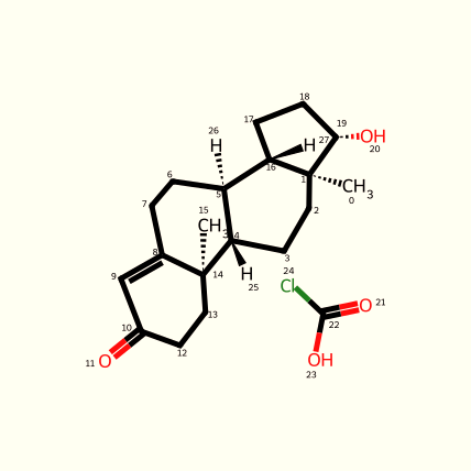 C[C@]12CC[C@H]3[C@@H](CCC4=CC(=O)CC[C@@]43C)[C@@H]1CC[C@@H]2O.O=C(O)Cl